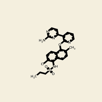 CCCS(=O)(=O)Nc1c(Cl)ccc2c(Oc3ncccc3-c3ccnc(N)n3)c(C)ccc12